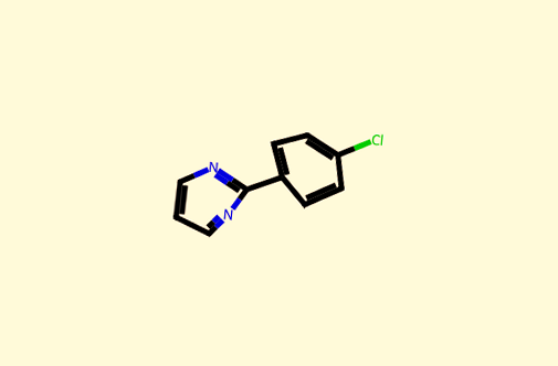 Clc1c[c]c(-c2ncccn2)cc1